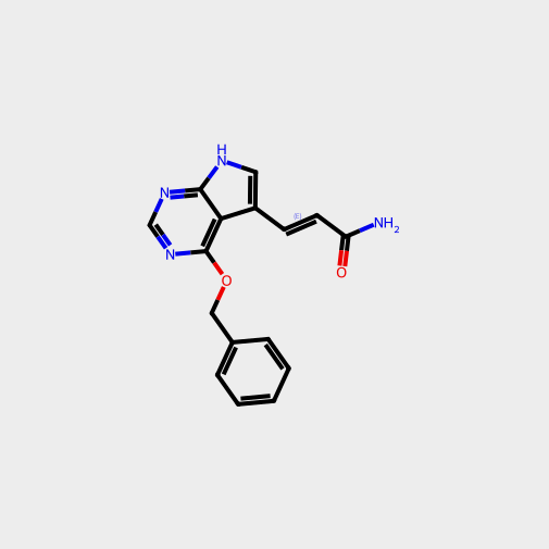 NC(=O)/C=C/c1c[nH]c2ncnc(OCc3ccccc3)c12